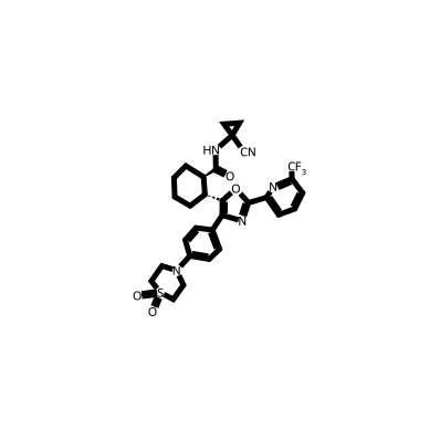 N#CC1(NC(=O)[C@@H]2CCCC[C@H]2c2oc(-c3cccc(C(F)(F)F)n3)nc2-c2ccc(N3CCS(=O)(=O)CC3)cc2)CC1